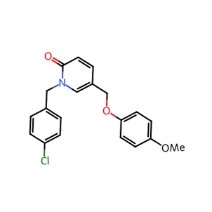 COc1ccc(OCc2ccc(=O)n(Cc3ccc(Cl)cc3)c2)cc1